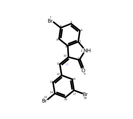 O=C1Nc2ccc(Br)cc2/C1=C/c1cc(Br)cc(Br)c1